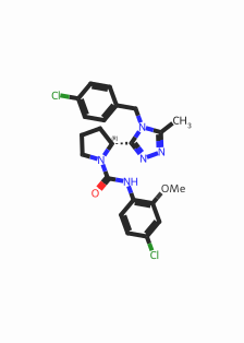 COc1cc(Cl)ccc1NC(=O)N1CCC[C@@H]1c1nnc(C)n1Cc1ccc(Cl)cc1